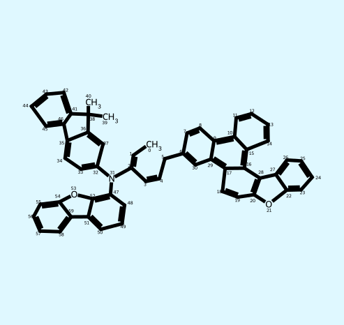 C/C=C(\C=C/Cc1ccc2c3ccccc3c3c(ccc4oc5ccccc5c43)c2c1)N(c1ccc2c(c1)C(C)(C)c1ccccc1-2)c1cccc2c1oc1ccccc12